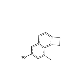 Cc1cc(O)cc2ccc3c(c12)CC3